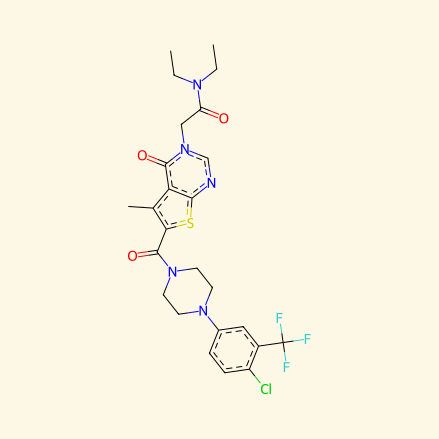 CCN(CC)C(=O)Cn1cnc2sc(C(=O)N3CCN(c4ccc(Cl)c(C(F)(F)F)c4)CC3)c(C)c2c1=O